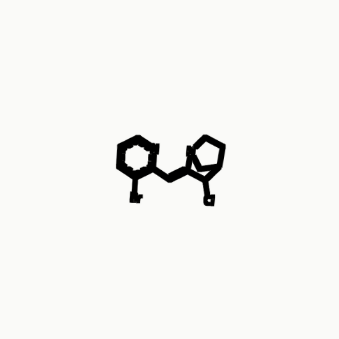 ClC1C(=Cc2ncccc2Br)N2CCC1C2